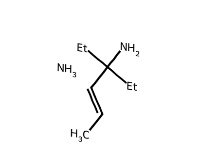 CC=CC(N)(CC)CC.N